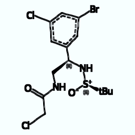 CC(C)(C)[S@@+]([O-])N[C@@H](CNC(=O)CCl)c1cc(Cl)cc(Br)c1